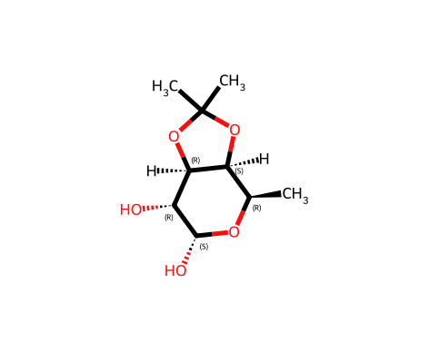 C[C@H]1O[C@H](O)[C@H](O)[C@H]2OC(C)(C)O[C@H]21